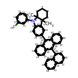 CC12CCCCC1(C)N(c1cccc(F)c1)c1ccc(-c3c4ccccc4c(-c4cccc5ccccc45)c4ccccc34)cc12